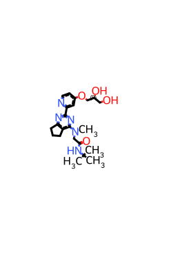 CN(CC(=O)NC(C)(C)C)c1nc(-c2cc(OC[C@H](O)CO)ccn2)nc2c1CCC2